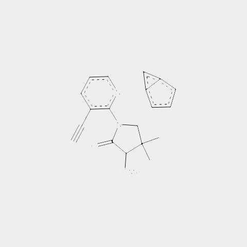 C#Cc1cccnc1N1CC(C)(C)C(OC)C1=O.c1cc2cc-2c1